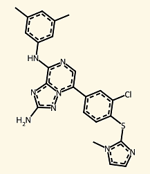 Cc1cc(C)cc(Nc2ncc(-c3ccc(Sc4nccn4C)c(Cl)c3)n3nc(N)nc23)c1